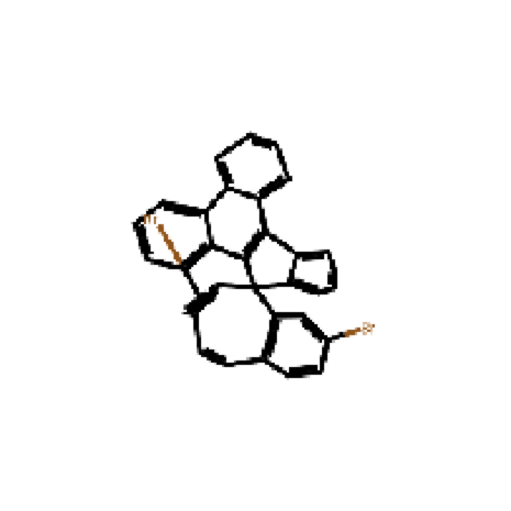 Brc1ccc2c(c1)C1(c3cc(Br)ccc3C=C2)c2ccccc2-c2c1c1ccccc1c1ccccc21